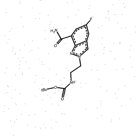 CC(C)(C)OC(=O)NCCn1cc2cc(F)cc(C(N)=O)c2n1